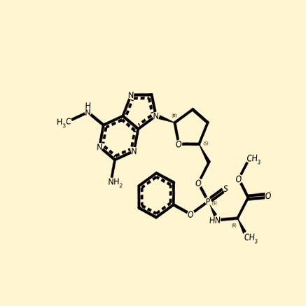 CNc1nc(N)nc2c1ncn2[C@H]1CC[C@@H](CO[P@@](=S)(N[C@H](C)C(=O)OC)Oc2ccccc2)O1